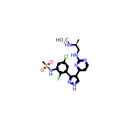 C[C@@H](CNc1nccc(-c2c[nH]nc2-c2cc(Cl)cc(NS(C)(=O)=O)c2F)n1)NC(=O)O